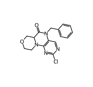 O=C1C2COCCN2c2nc(Cl)ncc2N1Cc1ccccc1